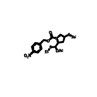 CCSC(OC(C)=O)C1CC(SC(C)=O)CN1C(=O)OCc1ccc([N+](=O)[O-])cc1